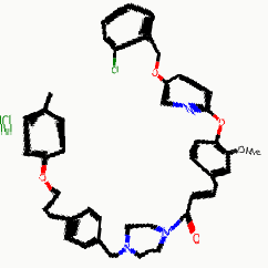 COc1cc(C=CC(=O)N2CCN(Cc3ccc(CCOc4ccc(C)cc4)cc3)CC2)ccc1Oc1ccc(OCc2ccccc2Cl)cn1.Cl